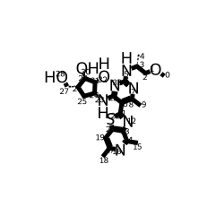 COC[C@@H](C)Nc1nc(C)c(-c2nc3c(C)nc(C)cc3s2)c(N[C@@H]2C[C@H](CO)[C@@H](O)[C@H]2O)n1